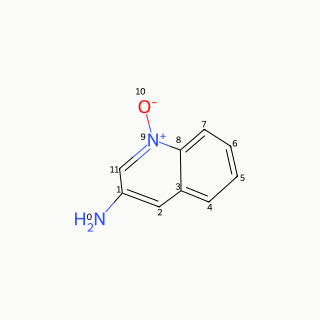 Nc1cc2ccccc2[n+]([O-])c1